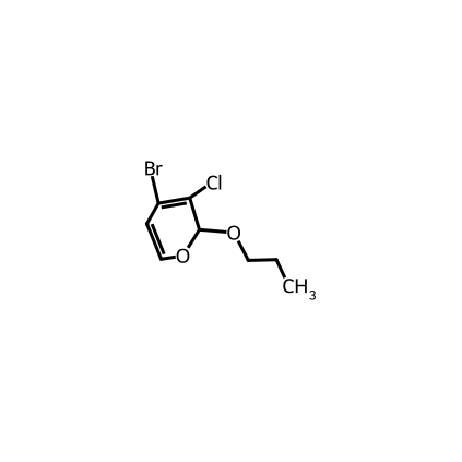 CCCOC1OC=CC(Br)=C1Cl